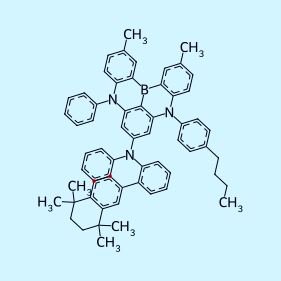 CCCCc1ccc(N2c3ccc(C)cc3B3c4cc(C)ccc4N(c4ccccc4)c4cc(N(c5ccccc5)c5ccccc5-c5ccc6c(c5)C(C)(C)CCC6(C)C)cc2c43)cc1